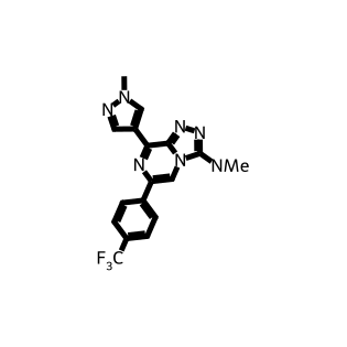 CNc1nnc2c(-c3cnn(C)c3)nc(-c3ccc(C(F)(F)F)cc3)cn12